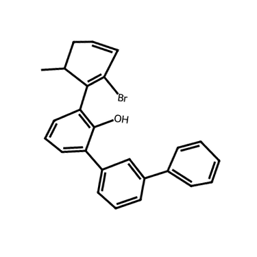 CC1CC=CC(Br)=C1c1cccc(-c2cccc(-c3ccccc3)c2)c1O